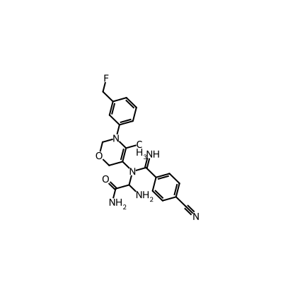 CC1=C(N(C(=N)c2ccc(C#N)cc2)C(N)C(N)=O)COCN1c1cccc(CF)c1